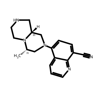 C[C@H]1CN(c2ccc(C#N)c3ncccc23)C[C@H]2CNCCN21